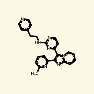 Cc1cccc(-c2nc3ccccn3c2-c2ccnc(NCCc3ccncc3)n2)n1